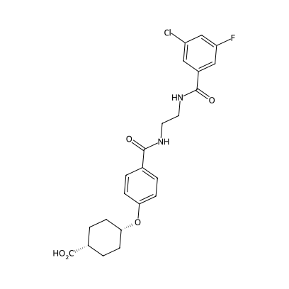 O=C(NCCNC(=O)c1cc(F)cc(Cl)c1)c1ccc(O[C@H]2CC[C@@H](C(=O)O)CC2)cc1